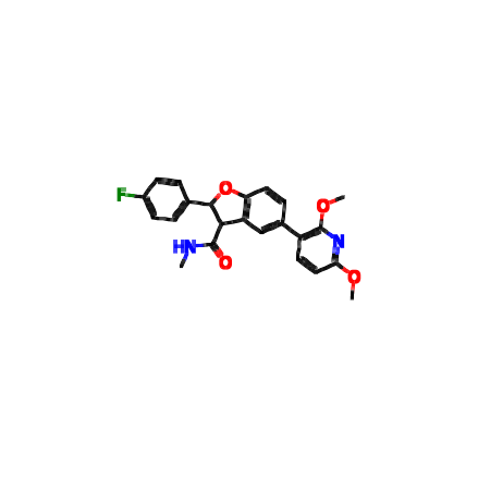 CNC(=O)C1c2cc(-c3ccc(OC)nc3OC)ccc2OC1c1ccc(F)cc1